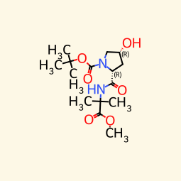 COC(=O)C(C)(C)NC(=O)[C@H]1C[C@@H](O)CN1C(=O)OC(C)(C)C